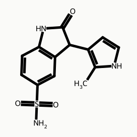 Cc1[nH]ccc1C1C(=O)Nc2ccc(S(N)(=O)=O)cc21